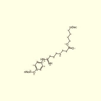 CCCCCCCCCCCCCCOC(=O)CCSCCCC(=N)Nc1ccc(OCCCCCCCCC)cc1